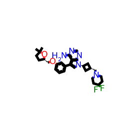 CC1(C)CC[C@@H](COc2cccc(-c3cn([C@H]4C[C@@H](CN5CCC(F)(F)CC5)C4)c4ncnc(N)c34)c2)O1